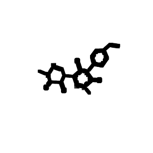 C=Cc1ccc(-n2c(=O)c(C3C=NN(C)C(=O)C3=O)nn(C)c2=O)cc1